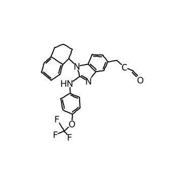 O=CCCc1ccc2c(c1)nc(Nc1ccc(OC(F)(F)F)cc1)n2C1CCCc2ccccc21